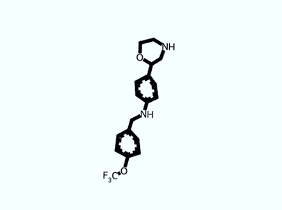 FC(F)(F)Oc1ccc(CNc2ccc(C3CNCCO3)cc2)cc1